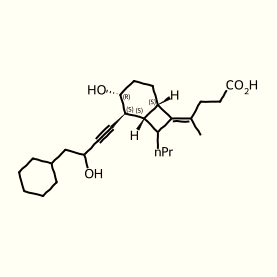 CCCC1C(=C(C)CCC(=O)O)[C@H]2CC[C@@H](O)[C@H](C#CC(O)CC3CCCCC3)[C@@H]12